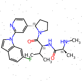 CN[C@@H](C)C(=O)N[C@H](C(=O)N1CCC[C@H]1c1ccnc(-n2ccc3ccc(F)cc32)c1)C(C)C